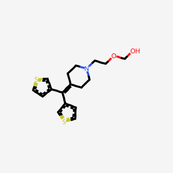 OCOCCN1CCC(=C(c2ccsc2)c2ccsc2)CC1